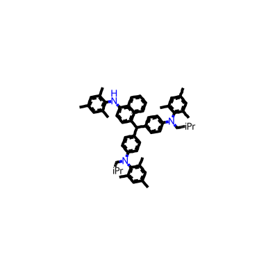 Cc1cc(C)c(Nc2ccc(C(c3ccc(N(CC(C)C)c4c(C)cc(C)cc4C)cc3)c3ccc(N(CC(C)C)c4c(C)cc(C)cc4C)cc3)c3ccccc23)c(C)c1